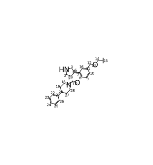 O=C([C@@H]1CNC[C@H]1c1cccc(COCI)c1)N1CCC(c2ccccc2)CC1